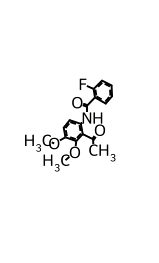 COc1ccc(NC(=O)c2ccccc2F)c(C(C)=O)c1OC